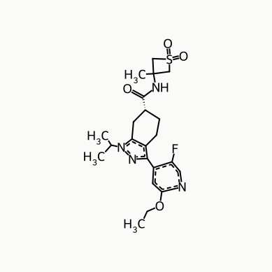 CCOc1cc(-c2nn(C(C)C)c3c2CC[C@@H](C(=O)NC2(C)CS(=O)(=O)C2)C3)c(F)cn1